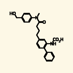 CN(C(=O)CCCc1ccc(-c2ccccc2)c(NC(=O)O)c1)c1ccc(CO)cc1